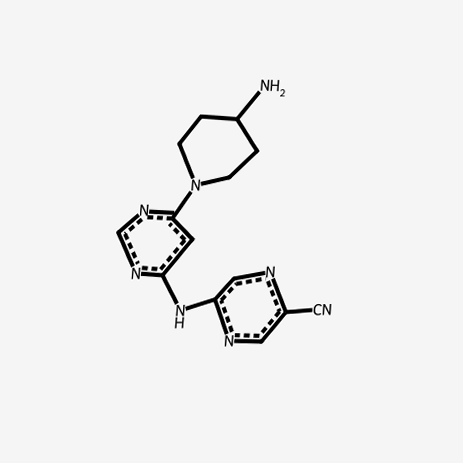 N#Cc1cnc(Nc2cc(N3CCC(N)CC3)ncn2)cn1